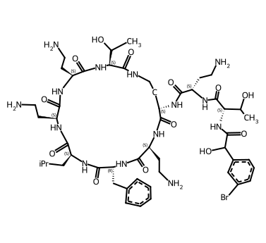 CC(C)C[C@@H]1NC(=O)[C@@H](Cc2ccccc2)NC(=O)[C@H](CCN)NC(=O)[C@@H](NC(=O)[C@H](CCN)NC(=O)[C@@H](NC(=O)C(O)c2cccc(Br)c2)C(C)O)CCNC(=O)[C@H](C(C)O)NC(=O)[C@H](CCN)NC(=O)[C@H](CCN)NC1=O